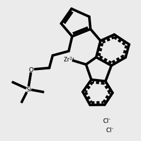 C[Si](C)(C)OCCCC1=C(c2cccc3c2[CH]([Zr+2])c2ccccc2-3)CC=C1.[Cl-].[Cl-]